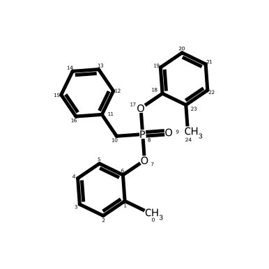 Cc1ccccc1OP(=O)(Cc1ccccc1)Oc1ccccc1C